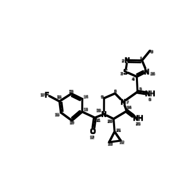 Cc1nsc(C(=N)N2CCN(C(=O)c3ccc(F)cc3)C(C3CC3)C2=N)n1